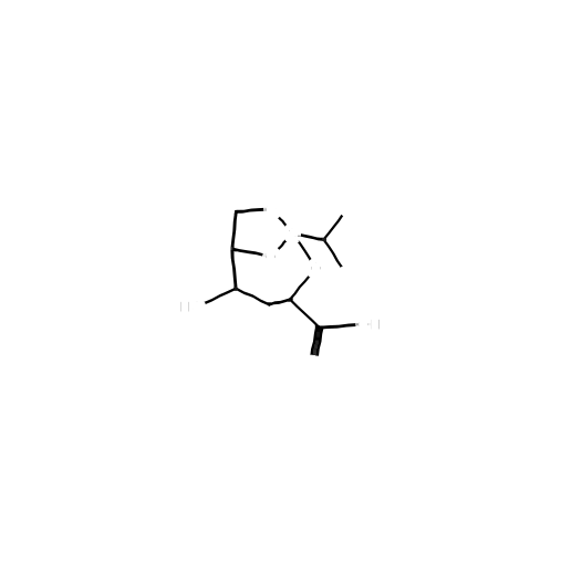 C=C(O)C1CC(O)C2CO[Si](C(C)C)(O1)O2